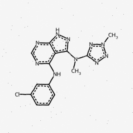 CN(c1nnn(C)n1)c1n[nH]c2ncnc(Nc3cccc(Cl)c3)c12